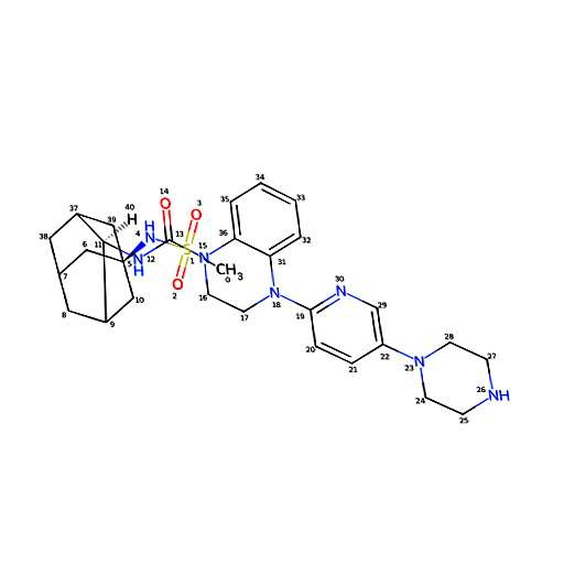 CS(=O)(=O)N[C@]12CC3CC(C1)[C@H](NC(=O)N1CCN(c4ccc(N5CCNCC5)cn4)c4ccccc41)C(C3)C2